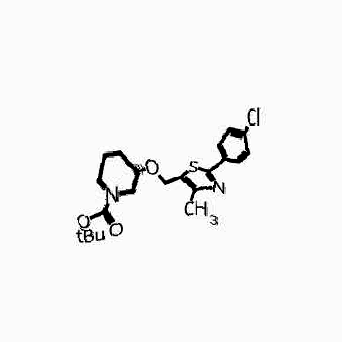 Cc1nc(-c2ccc(Cl)cc2)sc1CO[C@@H]1CCCN(C(=O)OC(C)(C)C)C1